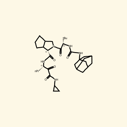 CCC[C@H](NC(=O)[C@@H]1C2CCCC2CN1C(=O)[C@@H](NC(=O)NC12CC3CC(CC(C3)C1)C2)C(C)(C)C)C(=O)C(=O)NC1CC1